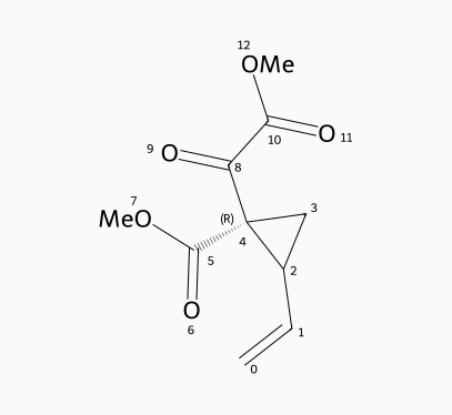 C=CC1C[C@]1(C(=O)OC)C(=O)C(=O)OC